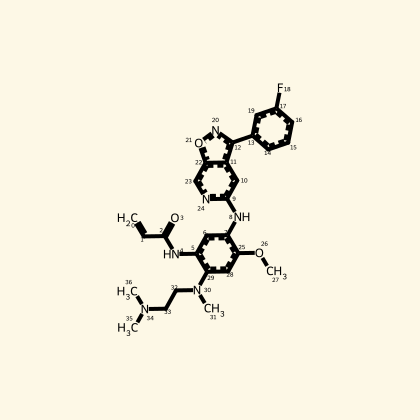 C=CC(=O)Nc1cc(Nc2cc3c(-c4cccc(F)c4)noc3cn2)c(OC)cc1N(C)CCN(C)C